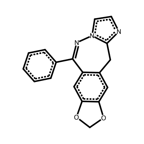 c1ccc(C2=Nn3ccnc3Cc3cc4c(cc32)OCO4)cc1